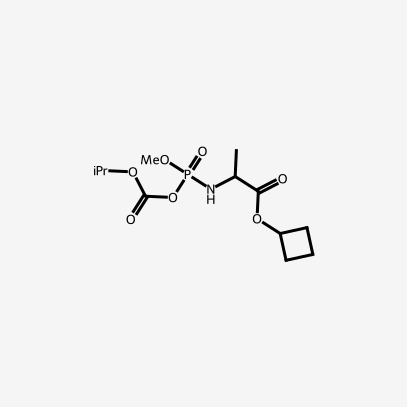 COP(=O)(NC(C)C(=O)OC1CCC1)OC(=O)OC(C)C